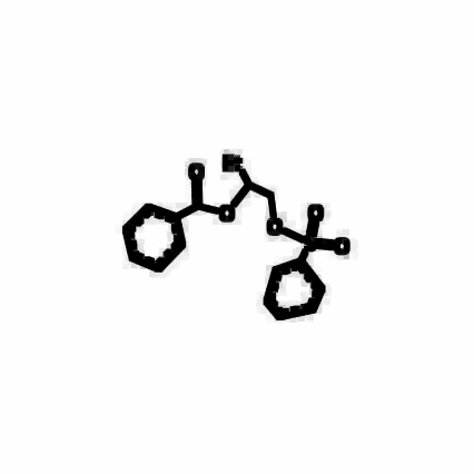 CCC(COS(=O)(=O)c1ccccc1)OC(=O)c1ccccc1